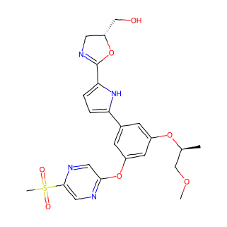 COC[C@H](C)Oc1cc(Oc2cnc(S(C)(=O)=O)cn2)cc(-c2ccc(C3=NC[C@H](CO)O3)[nH]2)c1